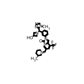 C[C@H]1CCCN(Cc2cc(C(F)(F)F)c3cn(-c4cccc([C@H](c5nncn5C)N5CC(O)C5)c4)c(=O)n3c2)C1